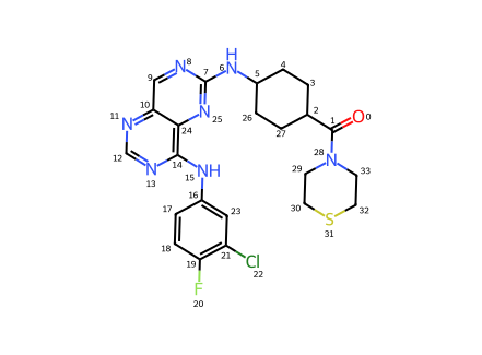 O=C(C1CCC(Nc2ncc3ncnc(Nc4ccc(F)c(Cl)c4)c3n2)CC1)N1CCSCC1